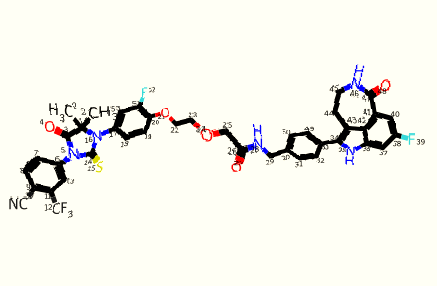 CC1(C)C(=O)N(c2ccc(C#N)c(C(F)(F)F)c2)C(=S)N1c1ccc(OCCOCC(=O)NCc2ccc(-c3[nH]c4cc(F)cc5c4c3CCNC5=O)cc2)c(F)c1